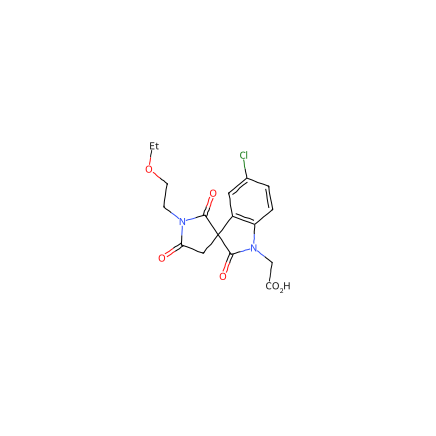 CCOCCN1C(=O)CC2(C1=O)C(=O)N(CC(=O)O)c1ccc(Cl)cc12